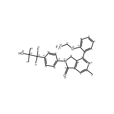 Cc1cc2c(c(-c3ccccc3OCC(F)(F)F)n1)CN(c1ccc(C(F)(F)C(C)(C)O)cc1)C2=O